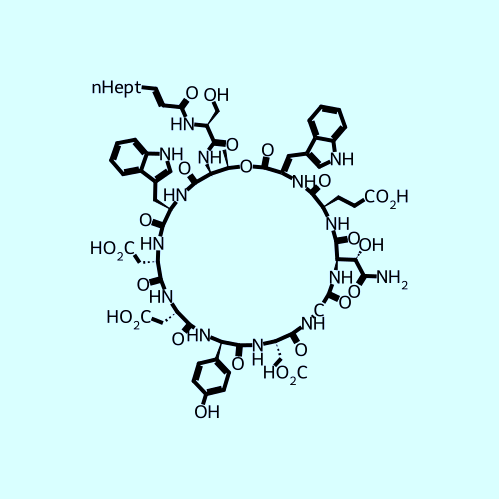 CCCCCCC/C=C/C(=O)N[C@@H](CO)C(=O)N[C@@H]1C(=O)N[C@H](Cc2c[nH]c3ccccc23)C(=O)N[C@@H](CC(=O)O)C(=O)N[C@@H](CC(=O)O)C(=O)N[C@H](c2ccc(O)cc2)C(=O)N[C@@H](CC(=O)O)C(=O)NCC(=O)N[C@H]([C@H](O)C(N)=O)C(=O)N[C@H](CCC(=O)O)C(=O)N/C(=C\c2c[nH]c3ccccc23)C(=O)O[C@@H]1C